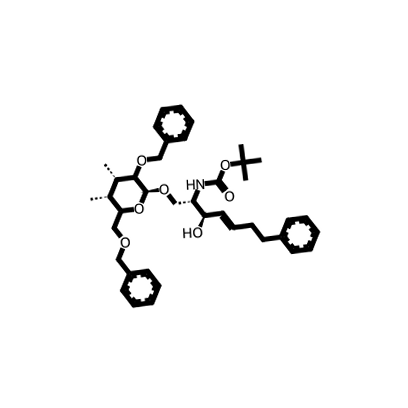 C[C@@H]1C(OCc2ccccc2)[C@@H](OC[C@H](NC(=O)OC(C)(C)C)[C@H](O)/C=C/CCc2ccccc2)OC(COCc2ccccc2)[C@@H]1C